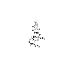 Cc1ccccc1OC(C)(C)CN1CCC2(C1)C[S+]([O-])C2